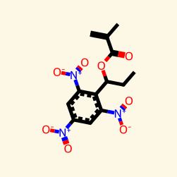 C=C(C)C(=O)OC(CC)c1c([N+](=O)[O-])cc([N+](=O)[O-])cc1[N+](=O)[O-]